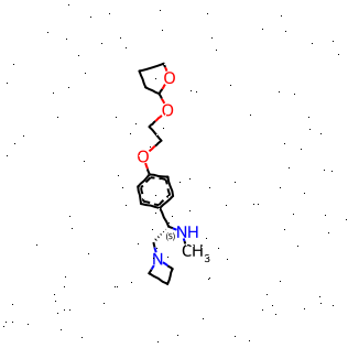 CN[C@H](CN1CCC1)c1ccc(OCCOC2CCCO2)cc1